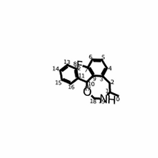 CC1Cc2cccc(F)c2C(c2ccccc2)OCN1